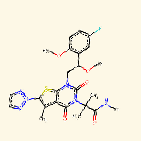 CCCCOc1ccc(F)cc1[C@H](Cn1c(=O)n(C(C)(C)C(=O)NC(C)C)c(=O)c2c(C)c(-n3nccn3)sc21)OC(C)C